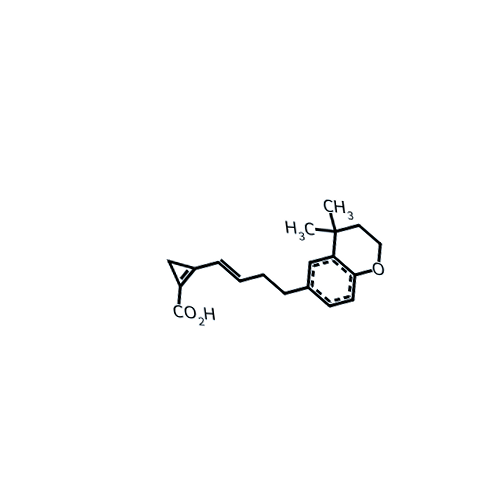 CC1(C)CCOc2ccc(CC/C=C/C3=C(C(=O)O)C3)cc21